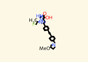 CO[C@@H]1CCN(Cc2ccc(C#Cc3ccc([C@H](CN[C@@H](C)CF)Cc4nc[nH]c(=O)c4O)cc3)cc2)C1